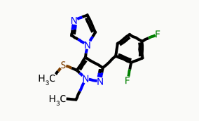 CCn1nc(-c2ccc(F)cc2F)c(-n2ccnc2)c1SC